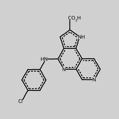 O=C(O)c1cc2c(Nc3ccc(Cl)cc3)nc3cnccc3c2[nH]1